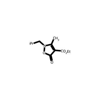 CCOC(=O)c1c(C)n(CC(C)C)oc1=O